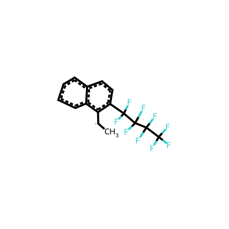 C[CH]c1c(C(F)(F)C(F)(F)C(F)(F)C(F)(F)F)ccc2ccccc12